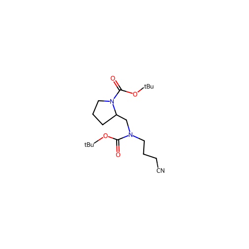 CC(C)(C)OC(=O)N(CCCC#N)CC1CCCN1C(=O)OC(C)(C)C